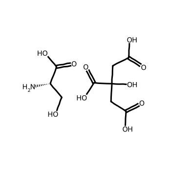 N[C@@H](CO)C(=O)O.O=C(O)CC(O)(CC(=O)O)C(=O)O